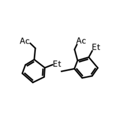 CCc1cccc(C)c1CC(C)=O.CCc1ccccc1CC(C)=O